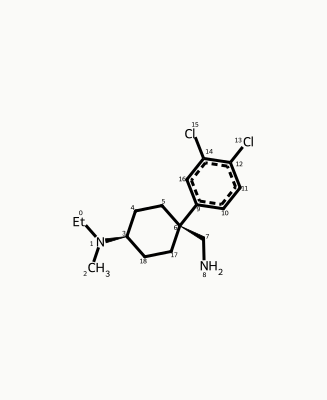 CCN(C)[C@H]1CC[C@](CN)(c2ccc(Cl)c(Cl)c2)CC1